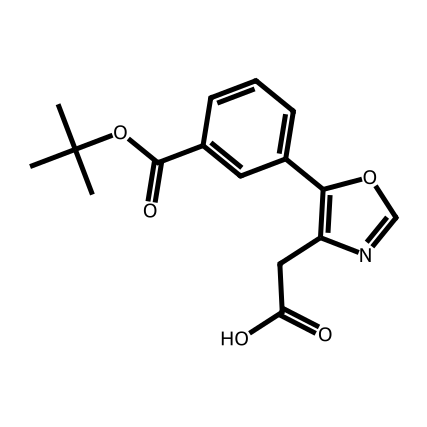 CC(C)(C)OC(=O)c1cccc(-c2ocnc2CC(=O)O)c1